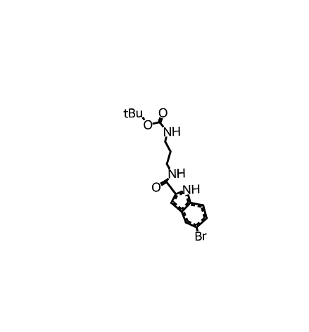 CC(C)(C)OC(=O)NCCCNC(=O)c1cc2cc(Br)ccc2[nH]1